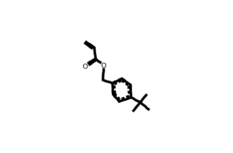 C=CC(=O)OCc1ccc(C(C)(C)C)cc1